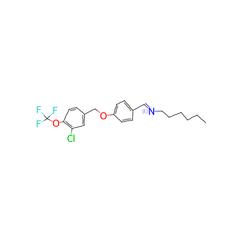 CCCCCC/N=C/c1ccc(OCc2ccc(OC(F)(F)F)c(Cl)c2)cc1